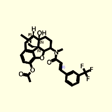 CC(=O)Oc1ccc2c3c1OC1C(N(C)C(=O)/C=C/c4cccc(C(F)(F)F)c4)CC[C@@]4(O)[C@@H](C2)N(C)CC[C@]314